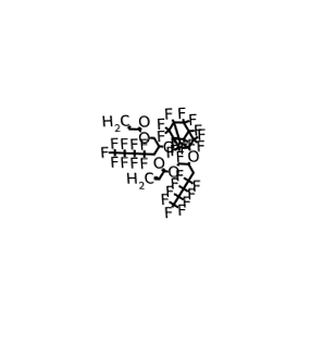 C=CC(=O)OCC(CC(F)(F)C(F)(F)C(F)(F)C(F)(F)F)OC12C(F)(F)C3(F)C(F)(F)C(F)(C1(F)F)C(F)(F)C(OC(COC(=O)C=C)CC(F)(F)C(F)(F)C(F)(F)C(F)(F)F)(C3(F)F)C2(F)F